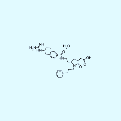 N=C(N)NC1CCc2cc(C(=O)NCC[C@@H]3C[C@@H](CC(=O)O)C(=O)N3CCCc3ccccc3)ccc2C1.O